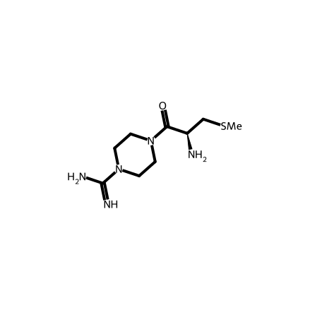 CSC[C@@H](N)C(=O)N1CCN(C(=N)N)CC1